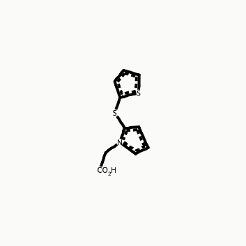 O=C(O)Cn1cccc1Sc1cccs1